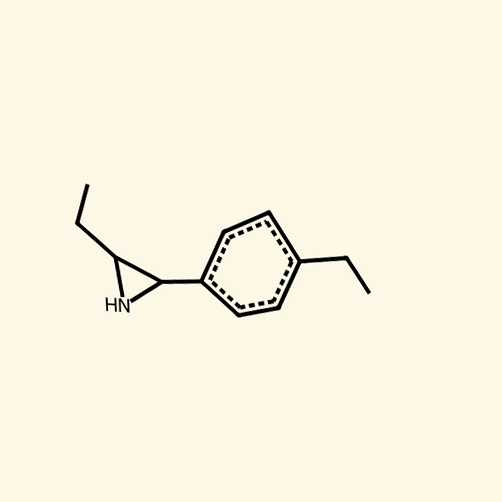 CCc1ccc(C2NC2CC)cc1